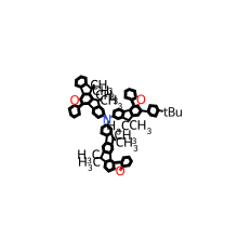 CC(C)(C)c1ccc(-c2cc3c(c4c2oc2ccccc24)-c2ccc(N(c4ccc5c(c4)C(C)(C)c4cc6c(cc4-5)C(C)(C)c4ccc5oc7ccccc7c5c4-6)c4ccc5c(c4)C(C)(C)c4c6c(c7oc8ccccc8c7c4-5)-c4ccccc4C6(C)C)cc2C3(C)C)cc1